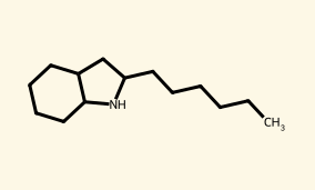 CCCCCCC1CC2CCCCC2N1